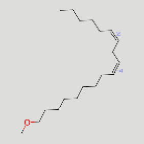 CCCCC/C=C\C/C=C\CCCCCCCCOC